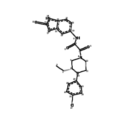 CC[C@@H]1CN(C(=O)C(=O)Nc2ccc3[nH]c(=O)oc3c2)CCN1c1ccc(Cl)cc1